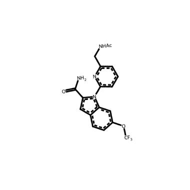 CC(=O)NCc1cccc(-n2c(C(N)=O)cc3ccc(OC(F)(F)F)cc32)n1